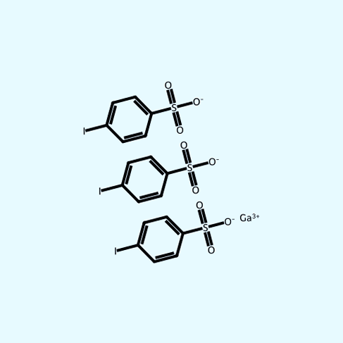 O=S(=O)([O-])c1ccc(I)cc1.O=S(=O)([O-])c1ccc(I)cc1.O=S(=O)([O-])c1ccc(I)cc1.[Ga+3]